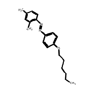 CCCCCCOc1ccc(/N=N/c2ccc(C)cc2C)cc1